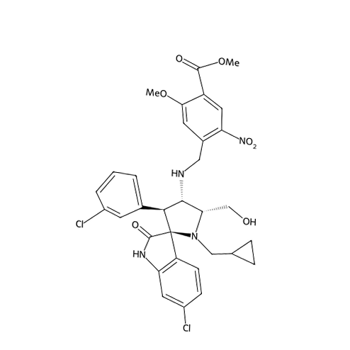 COC(=O)c1cc([N+](=O)[O-])c(CN[C@@H]2[C@H](CO)N(CC3CC3)[C@@]3(C(=O)Nc4cc(Cl)ccc43)[C@H]2c2cccc(Cl)c2)cc1OC